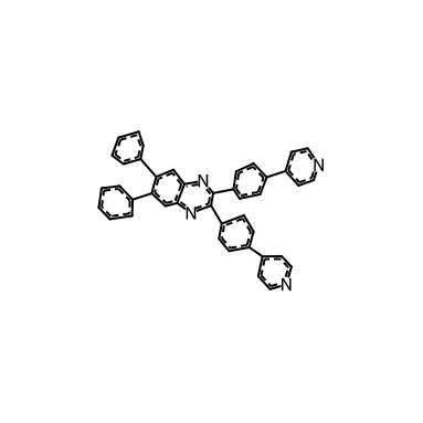 c1ccc(-c2cc3nc(-c4ccc(-c5ccncc5)cc4)c(-c4ccc(-c5ccncc5)cc4)nc3cc2-c2ccccc2)cc1